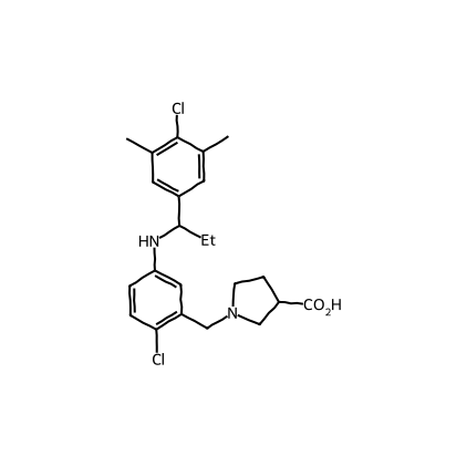 CCC(Nc1ccc(Cl)c(CN2CCC(C(=O)O)C2)c1)c1cc(C)c(Cl)c(C)c1